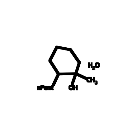 CCCCCC1CCCCC1(C)O.O